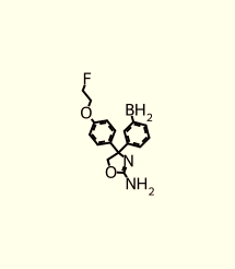 Bc1cccc(C2(c3ccc(OCCF)cc3)COC(N)=N2)c1